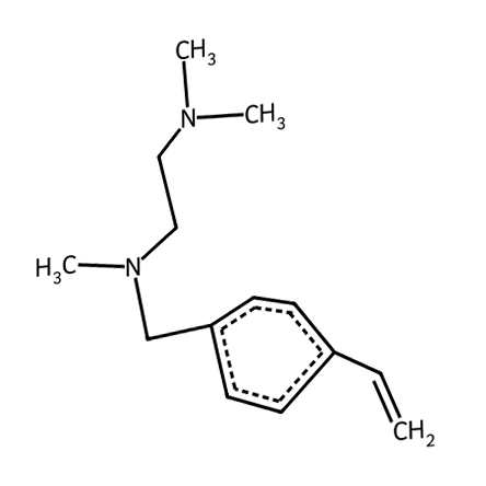 C=Cc1ccc(CN(C)CCN(C)C)cc1